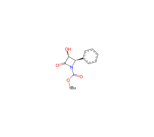 CC(C)(C)OC(=O)N1C(=O)[C@@H](O)[C@H]1c1ccccc1